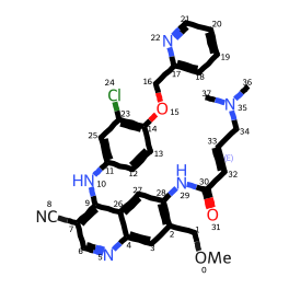 COCc1cc2ncc(C#N)c(Nc3ccc(OCc4ccccn4)c(Cl)c3)c2cc1NC(=O)/C=C/CN(C)C